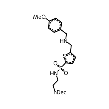 CCCCCCCCCCCCNS(=O)(=O)c1ccc(CNCc2ccc(OC)cc2)s1